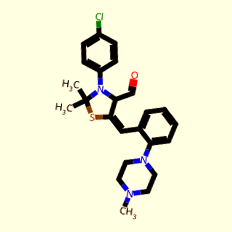 CN1CCN(c2ccccc2C=C2SC(C)(C)N(c3ccc(Cl)cc3)C2C=O)CC1